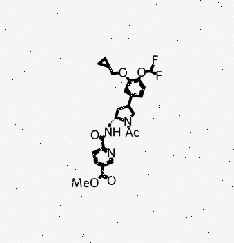 COC(=O)c1ccc(C(=O)NC[C@@H]2CC(c3ccc(OC(F)F)c(OCC4CC4)c3)CN2C(C)=O)nc1